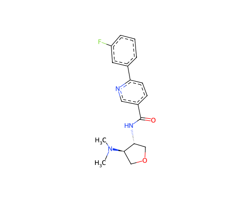 CN(C)[C@@H]1COC[C@H]1NC(=O)c1ccc(-c2cccc(F)c2)nc1